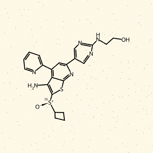 Nc1c([S@+]([O-])C2CCC2)sc2nc(-c3cnc(NCCO)nc3)cc(-c3ccccn3)c12